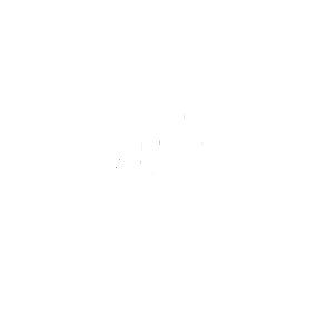 COS(=O)(=O)c1ccccc1S.[Zn]